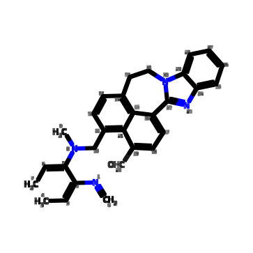 C=NC(=C/C)/C(=C\C)N(C)Cc1ccc2c3c(ccc(C=O)c13)-c1nc3ccccc3n1CC2